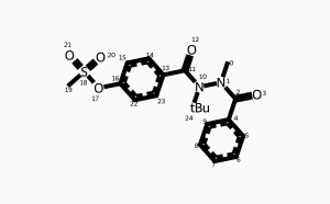 CN(C(=O)c1ccccc1)N(C(=O)c1ccc(OS(C)(=O)=O)cc1)C(C)(C)C